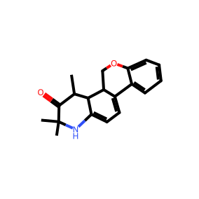 CC1C(=O)C(C)(C)NC2=CC=C3c4ccccc4OCC3C21